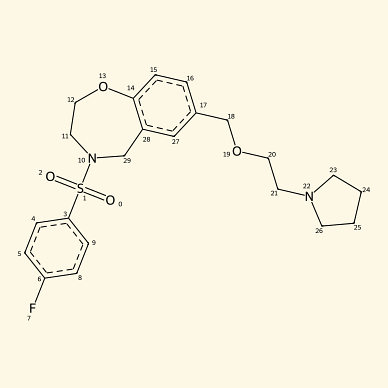 O=S(=O)(c1ccc(F)cc1)N1CCOc2ccc(COCCN3CCCC3)cc2C1